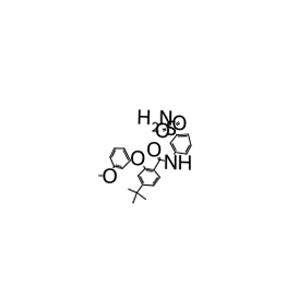 COc1cccc(Oc2cc(C(C)(C)C)ccc2C(=O)Nc2cccc(S(N)(=O)=O)c2)c1